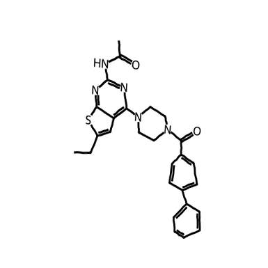 CCc1cc2c(N3CCN(C(=O)c4ccc(-c5ccccc5)cc4)CC3)nc(NC(C)=O)nc2s1